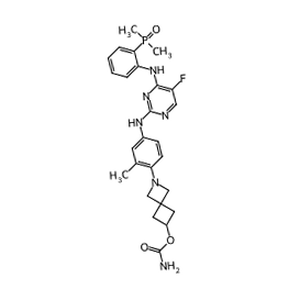 Cc1cc(Nc2ncc(F)c(Nc3ccccc3P(C)(C)=O)n2)ccc1N1CC2(CC(OC(N)=O)C2)C1